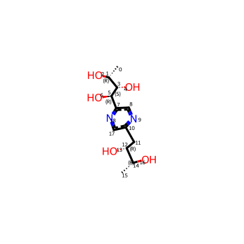 C[C@@H](O)[C@H](O)[C@H](O)c1cnc(C[C@@H](O)[C@@H](C)O)cn1